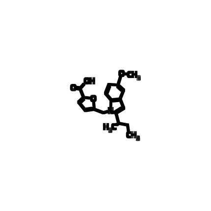 CCC(C)c1cc2cc(OC)ccc2n1Cc1ccc(C(=O)O)o1